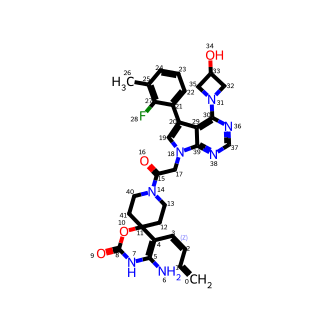 C=C/C=C\C1=C(N)NC(=O)OC12CCN(C(=O)Cn1cc(-c3cccc(C)c3F)c3c(N4CC(O)C4)ncnc31)CC2